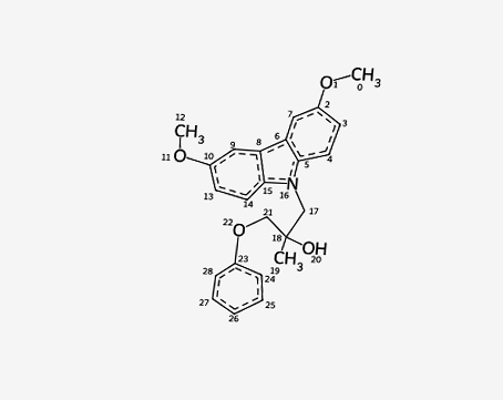 COc1ccc2c(c1)c1cc(OC)ccc1n2CC(C)(O)COc1ccccc1